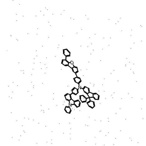 c1ccc(-c2cccc3c2oc2ccc(-c4ccc(N(c5ccc(-c6cccc7c6c6ccccc6n7-c6ccccc6)cc5)c5ccc6c(c5)C(c5ccccc5)(c5ccccc5)c5ccccc5-6)cc4)cc23)cc1